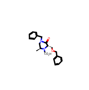 C[C@H]1CN(Cc2ccccc2)C(=O)[C@H](COCc2ccccc2)N1C(=O)O